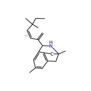 C=C(/C=C\C(C)(C)CC)C1NC2(C)Cc3cc(C)cc1c3C2